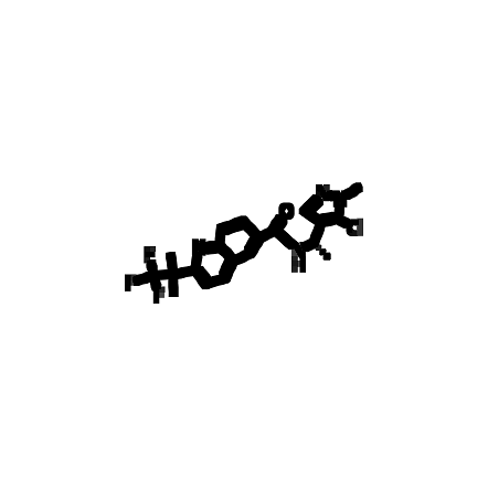 C[C@H](NC(=O)c1ccc2nc(C(C)(C)C(F)(F)F)ccc2c1)c1cnn(C)c1Cl